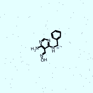 C[C@H](Nc1ncnc(N)c1C=NO)c1ccccc1